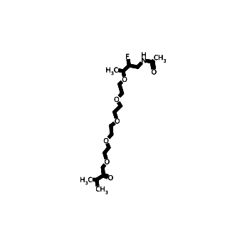 CC(=O)NCC(F)C(C)OCCOCCOCCOCCOCC(=O)C(C)C